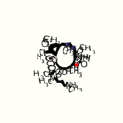 CNCCCC(=O)N(C)[C@@H](C)C(=O)O[C@H]1CC(=O)N(C)c2cc(cc(OC)c2Cl)C/C(C)=C/C=C/[C@@H](OC)[C@@]2(O)C[C@H](OC(=O)N2)[C@@H](C)[C@@H]2O[C@@]12C